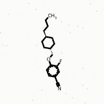 CCCC[C@H]1CC[C@H](COc2ccc(C#N)cc2F)CC1